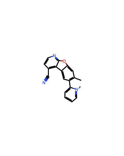 Cc1cc2oc3nccc(C#N)c3c2cc1-c1cccc[n+]1C